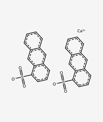 O=S(=O)([O-])c1cccc2cc3ccccc3cc12.O=S(=O)([O-])c1cccc2cc3ccccc3cc12.[Ca+2]